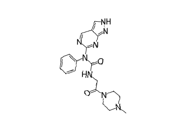 CN1CCN(C(=O)CNC(=O)N(c2ccccc2)c2ncc3c[nH]nc3n2)CC1